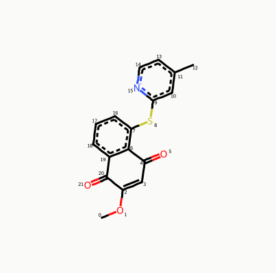 COC1=CC(=O)c2c(Sc3cc(C)ccn3)cccc2C1=O